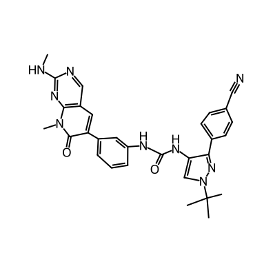 CNc1ncc2cc(-c3cccc(NC(=O)Nc4cn(C(C)(C)C)nc4-c4ccc(C#N)cc4)c3)c(=O)n(C)c2n1